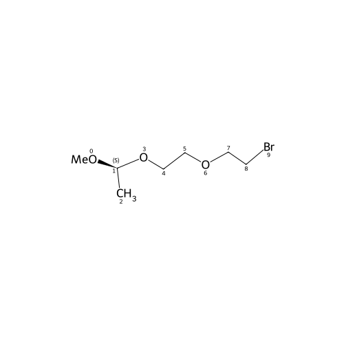 CO[C@H](C)OCCOCCBr